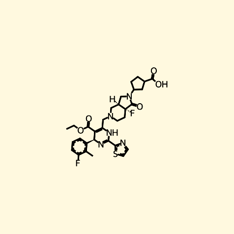 CCOC(=O)C1=C(CN2CC[C@]3(F)C(=O)N(C4CCC(C(=O)O)C4)C[C@@H]3C2)NC(c2nccs2)=N[C@H]1c1cccc(F)c1C